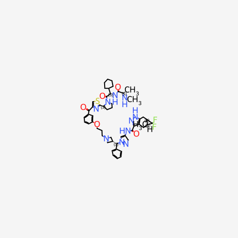 CN[C@@H](C)C(=O)N[C@H](C(=O)N1CCC[C@H]1c1nc(C(=O)c2cccc(OCCCN3CC([C@@H](c4ccccc4)n4cc(NC(=O)c5n[nH]c6c5C[C@@H]5C(F)(F)[C@]5(C)C6)cn4)C3)c2)cs1)C1CCCCC1